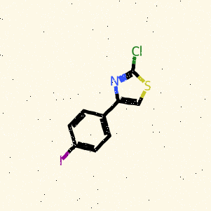 Clc1nc(-c2ccc(I)cc2)cs1